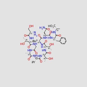 CC[C@H](C)[C@H](NC(=O)[C@@H](NC(=O)[C@@H](NC(=O)[C@@H](NC(=O)[C@H](C)NC(=O)CNC(=O)[C@@H](NC(=O)[C@@H](N)CO)[C@@H](C)O)C(C)C)[C@@H](C)O)[C@@H](C)O)C(=O)N[C@@H](CC(N)=O)C(=O)N[C@@H](Cc1ccccc1)C(=O)N[C@@H](C)C(=O)O